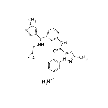 Cc1cc(C(=O)Nc2cccc(C(NCC3CC3)c3cnn(C)c3)c2)n(-c2cccc(CN)c2)n1